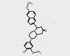 COc1ccc2cc(C3CC(=O)CC4CN(c5ccc(Cl)c(OC)c5)CCN43)ccc2c1